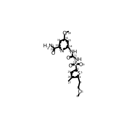 COCCc1sc(S(=O)(=O)NC(=O)Nc2cc(OC)cc(C(N)=O)n2)cc1C